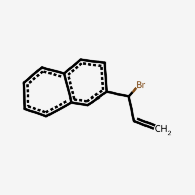 C=CC(Br)c1ccc2ccccc2c1